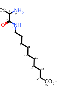 CCC(N)C(=O)NCCCCCCCCCC(=O)O